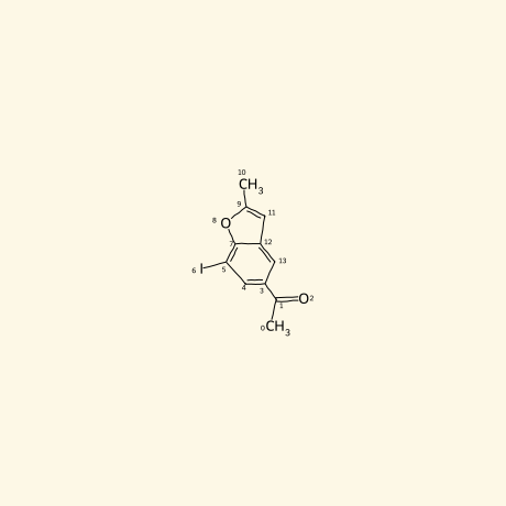 CC(=O)c1cc(I)c2oc(C)cc2c1